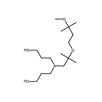 COC(C)(C)CCOC(C)(C)CN(CCCO)CCCO